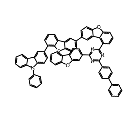 c1ccc(-c2ccc(-c3nc(-c4ccc5c(c4)oc4ccccc45)nc(-c4cccc5oc6ccc(-c7ccc8sc9c(-c%10ccc%11c(c%10)c%10ccccc%10n%11-c%10ccccc%10)cccc9c8c7)cc6c45)n3)cc2)cc1